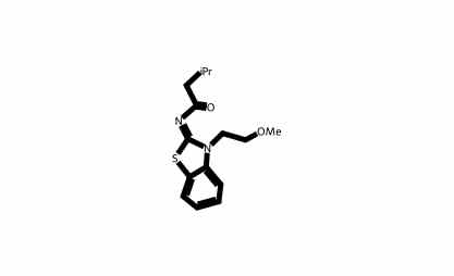 COCCn1c(=NC(=O)CC(C)C)sc2ccccc21